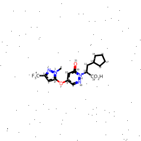 Cn1nc(C(F)(F)F)cc1Oc1cnn(C(CC2CCCC2)C(=O)O)c(=O)c1